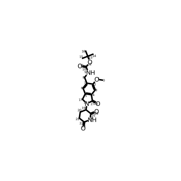 COc1cc2c(cc1CNC(=O)OC(C)(C)C)CN(C1CCC(=O)NC1=O)C2=O